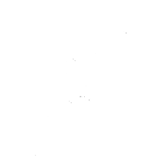 C[Si](C)(C)CCOCOc1ccc([C@@H](O)CNCCOc2ccc(Br)cc2)cc1N(COCC[Si](C)(C)C)S(C)(=O)=O